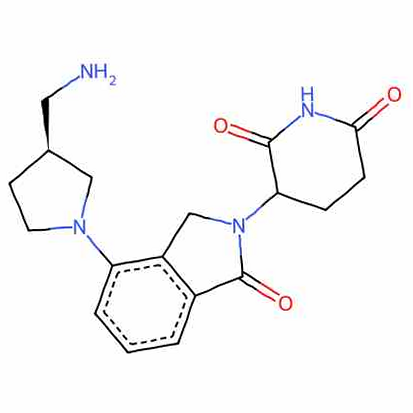 NC[C@@H]1CCN(c2cccc3c2CN(C2CCC(=O)NC2=O)C3=O)C1